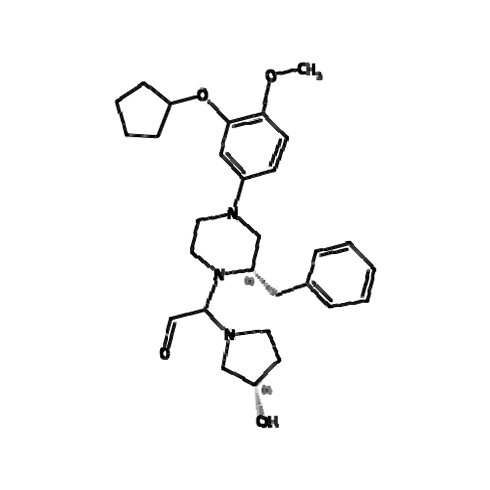 COc1ccc(N2CCN(C(C=O)N3CC[C@H](O)C3)[C@@H](Cc3ccccc3)C2)cc1OC1CCCC1